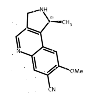 COc1cc2c3c(cnc2cc1C#N)CN[C@H]3C